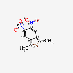 Cc1sc(C)c2cc([N+](=O)[O-])c([N+](=O)[O-])cc12